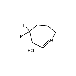 Cl.FC1(F)CC=NCCC1